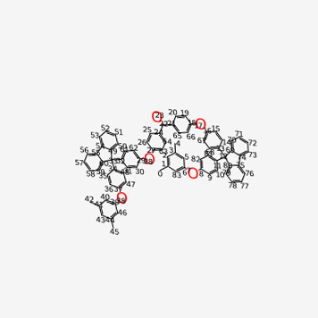 Cc1cc(C)cc(Oc2ccc(C3(c4ccc(Oc5ccc(C(=O)c6ccc(Oc7ccc(C8(c9ccc(Oc%10cc(C)cc(C)c%10)cc9)c9ccccc9-c9ccccc98)cc7)cc6)cc5)cc4)c4ccccc4-c4ccccc43)cc2)c1